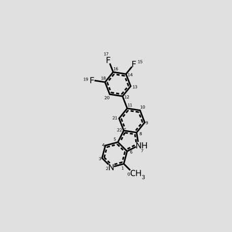 Cc1nccc2c1[nH]c1ccc(-c3cc(F)c(F)c(F)c3)cc12